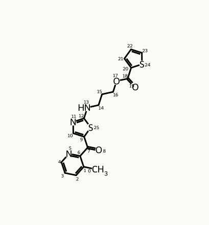 Cc1cccnc1C(=O)c1cnc(NCCCOC(=O)c2cccs2)s1